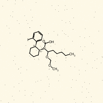 CCCCCC(OCOC)N(C(=O)O)[C@H]1CCCC[C@H]1c1ccccc1I